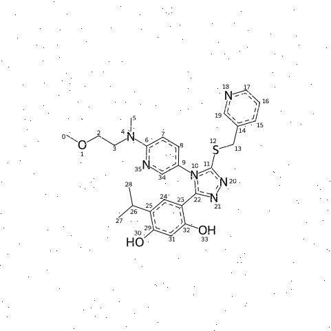 COCCN(C)c1ccc(-n2c(SCc3cccnc3)nnc2-c2cc(C(C)C)c(O)cc2O)cn1